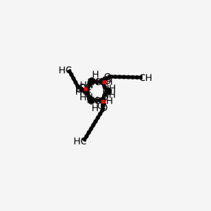 C#CC#CC#CC#CC#CC#CC#CC#CC#COC(=O)Cc1cc2c(O)c(c1)CNC1CCCCC1NCc1cc(CC(=O)OC#CC#CC#CC#CC#CC#CC#CC#C)cc(c1O)CNC1CCCCC1NCc1cc(CC(=O)OC#CC#CC#CC#CC#C)cc(c1O)CNC1CCCCC1NC2